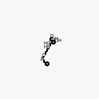 CN(CCOCCCCCNC[C@H](O)c1ccc(O)c2[nH]c(=O)ccc12)CCc1ccccc1